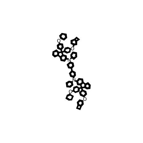 C1=CCCC(OC2C=CC(C3(c4ccc(Oc5ccc6c(c5)CC6)cc4)c4ccccc4-c4ccc(N(c5ccccc5)c5ccc(-c6ccc(N(c7ccccc7)c7ccc8c(c7)C(C7=CCC(Oc9ccc%10c(c9)CC%10)C=C7)(c7ccc(Oc9ccccc9)cc7)c7ccccc7-8)cc6)cc5)cc43)=CC2)=C1